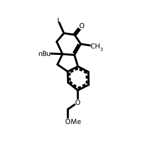 CCCCC12Cc3cc(OCOC)ccc3C1=C(C)C(=O)C(I)C2